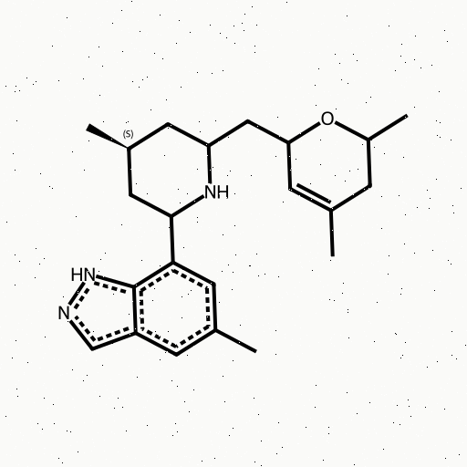 CC1=CC(CC2C[C@H](C)CC(c3cc(C)cc4cn[nH]c34)N2)OC(C)C1